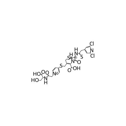 O=C(C[n+]1ccc(SCC2=C(C(=O)O)N3C(=O)[C@H](NC(=S)Cc4cc(Cl)nc(Cl)c4)[C@H]3SC2)cc1)NC(CO)C(=O)O